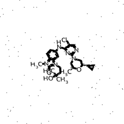 C[C@@H]1CN(c2ncc(Cl)c(Nc3ccc4c(c3)n(CCC(C)(C)O)c(=O)n4C)n2)C[C@@H](C2CC2)O1